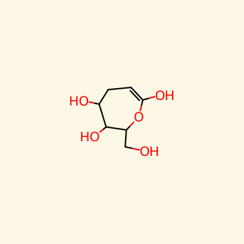 OCC1OC(O)=CCC(O)C1O